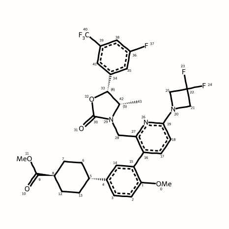 COc1ccc([C@H]2CC[C@H](C(=O)OC)CC2)cc1-c1ccc(N2CC(F)(F)C2)nc1CN1C(=O)O[C@H](c2cc(F)cc(C(F)(F)F)c2)[C@@H]1C